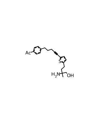 CC(=O)c1ccc(CCCC#Cc2ccc(CCC(C)(N)CO)s2)cc1